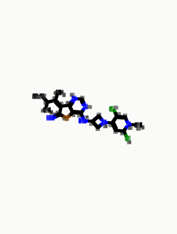 CNC(C)/C(C)=C1\C(=N)Sc2c(NC3CN(C4=CC(Cl)N(C)C=C4Cl)C3)ncnc21